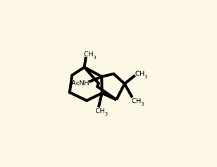 CC(=O)NC12CC(C)(C)C3CCC1(C)CCCC32C